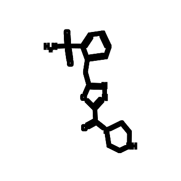 NS(=O)(=O)c1ccccc1Cc1nnc(C(=O)N2CCNCC2)o1